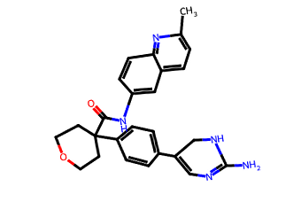 Cc1ccc2cc(NC(=O)C3(c4ccc(C5=CN=C(N)NC5)cc4)CCOCC3)ccc2n1